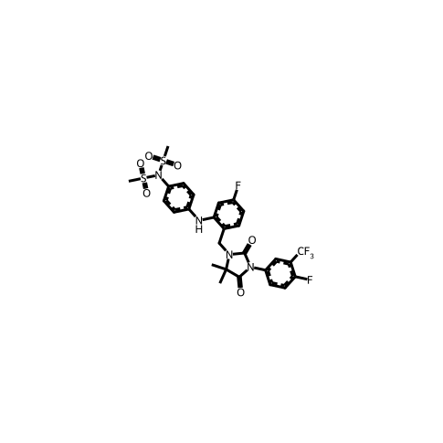 CC1(C)C(=O)N(c2ccc(F)c(C(F)(F)F)c2)C(=O)N1Cc1ccc(F)cc1Nc1ccc(N(S(C)(=O)=O)S(C)(=O)=O)cc1